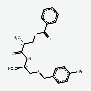 CCCc1ccc(CSC[C@H](NC(=O)[C@H](C)CSC(=O)c2ccccc2)C(=O)O)cc1